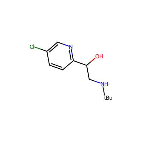 CC(C)(C)NCC(O)c1ccc(Cl)cn1